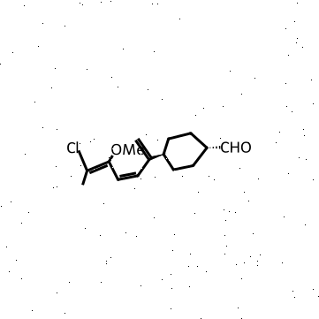 C=C(/C=C\C(OC)=C(/C)Cl)[C@H]1CC[C@H](C=O)CC1